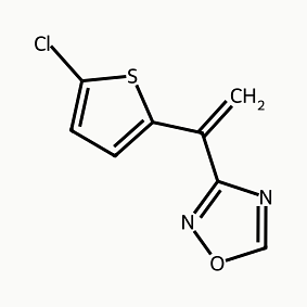 C=C(c1ncon1)c1ccc(Cl)s1